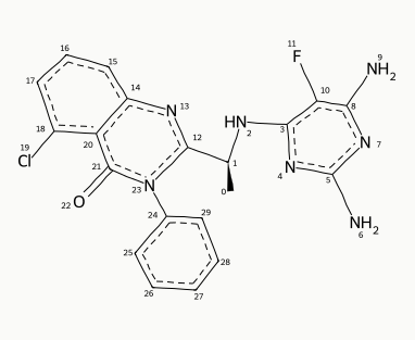 C[C@H](Nc1nc(N)nc(N)c1F)c1nc2cccc(Cl)c2c(=O)n1-c1ccccc1